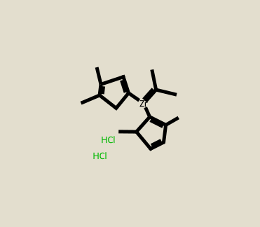 CC1=C(C)C[C]([Zr]([C]2=C(C)C=CC2C)=[C](C)C)=C1.Cl.Cl